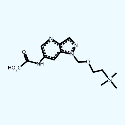 C[Si](C)(C)CCOCn1ncc2ncc(NC(=O)C(=O)O)cc21